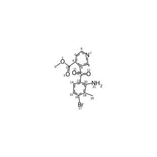 COC(=O)c1ccncc1S(=O)(=O)c1ccc(Br)c(C)c1N